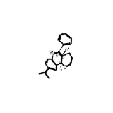 CC(C)c1ccc2c(c1)[C@H]1OCCC[C@H]1[C@H](c1ccccc1)N2